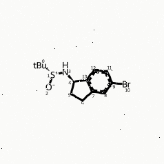 CC(C)(C)[S@@+]([O-])N[C@@H]1CCc2cc(Br)ccc21